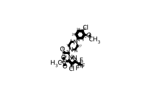 COc1cc(N2CCN(C(C=O)n3nc(C(F)(F)F)c(Cl)c3S(C)(=O)=O)CC2)ccc1Cl